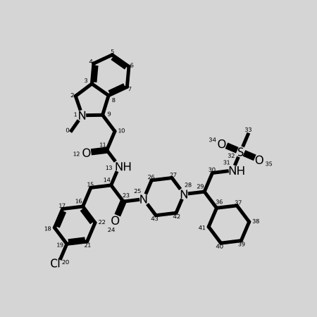 CN1Cc2ccccc2C1CC(=O)NC(Cc1ccc(Cl)cc1)C(=O)N1CCN(C(CNS(C)(=O)=O)C2CCCCC2)CC1